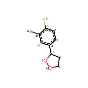 Fc1ccc(C2CCOO2)cc1I